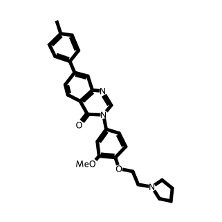 COc1cc(-n2cnc3cc(-c4ccc(C)cc4)ccc3c2=O)ccc1OCCN1CCCC1